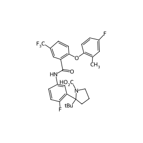 Cc1cc(F)ccc1Oc1ccc(C(F)(F)F)cc1C(=O)Nc1ccc(F)c(C2(C(C)(C)C)CCCN2C(=O)O)c1